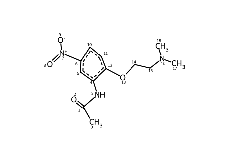 CC(=O)Nc1cc([N+](=O)[O-])ccc1OCCN(C)C